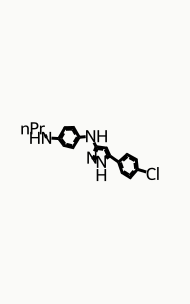 CCCNc1ccc(Nc2cc(-c3ccc(Cl)cc3)[nH]n2)cc1